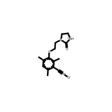 Cc1cc(C)c(OCCN2CC[15NH]C2=O)c(C)c1C#[N+][O-]